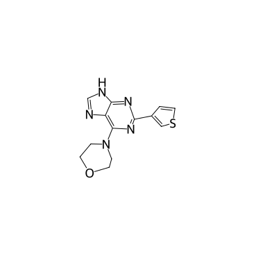 c1nc2c(N3CCOCC3)nc(-c3ccsc3)nc2[nH]1